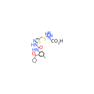 Cc1ccc(NC(=O)Nc2ncc(CSc3nnnn3CC(=O)O)s2)c(C(=O)C2CCCC2)c1